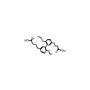 CCOc1ccc(CCCC(=O)O)cc1-c1cc(CCCC(=O)O)ccc1OCC